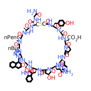 CCCCC[C@H]1C(=O)N[C@@H](C)C(=O)N[C@H](C(=O)NCC(N)=O)CSCC(=O)N[C@@H](Cc2ccc(O)cc2)C(=O)N(C)[C@@H](C)C(=O)N[C@@H](CC(=O)O)C(=O)N2CCC[C@H]2C(=O)N[C@@H](Cc2cnc[nH]2)C(=O)N[C@@H](CCC(N)=O)C(=O)N2C[C@H](O)C[C@H]2C(=O)N[C@@H](Cc2c[nH]c3ccccc23)C(=O)N[C@@H](CO)C(=O)N[C@@H](Cc2cccc3ccccc23)c2nnnn2[C@@H](CCCC)C(=O)N1C